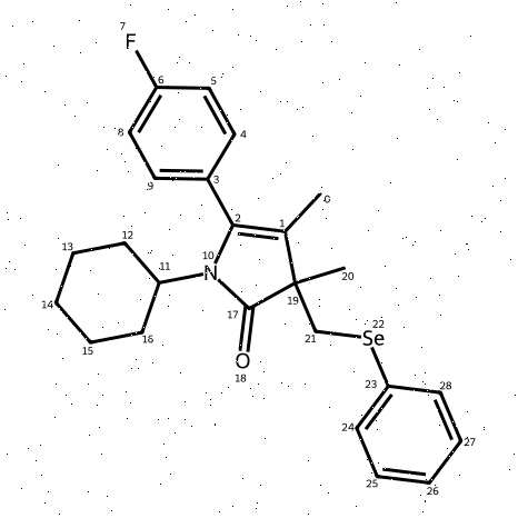 CC1=C(c2ccc(F)cc2)N(C2CCCCC2)C(=O)C1(C)C[Se]c1ccccc1